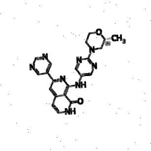 C[C@@H]1CN(c2ncc(Nc3nc(-c4cncnc4)cc4cc[nH]c(=O)c34)cn2)CCO1